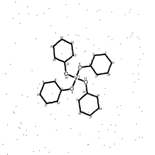 C1CCC([O][V]([O]C2CCCCC2)([O]C2CCCCC2)[O]C2CCCCC2)CC1